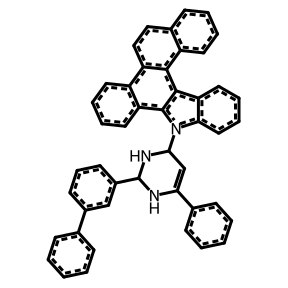 C1=C(c2ccccc2)NC(c2cccc(-c3ccccc3)c2)NC1n1c2ccccc2c2c3c4ccccc4ccc3c3ccccc3c21